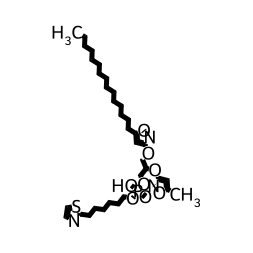 CCCCCCCCCCCCCCCc1cc(OCC(COP(=O)(O)OCCCCCCc2nccs2)Oc2cc(C)on2)no1